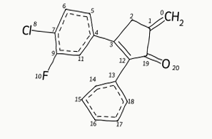 C=C1CC(c2ccc(Cl)c(F)c2)=C(c2ccccc2)C1=O